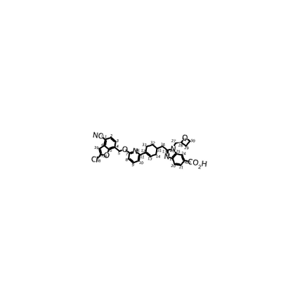 N#Cc1ccc(COc2cccc(C3=CCC(Cc4nc5ccc(C(=O)O)cc5n4C[C@@H]4CCO4)CC3)n2)c2oc(Cl)cc12